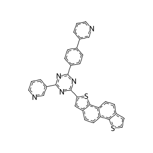 c1cncc(-c2ccc(-c3nc(-c4cccnc4)nc(-c4cc5ccc6c(ccc7ccsc76)c5s4)n3)cc2)c1